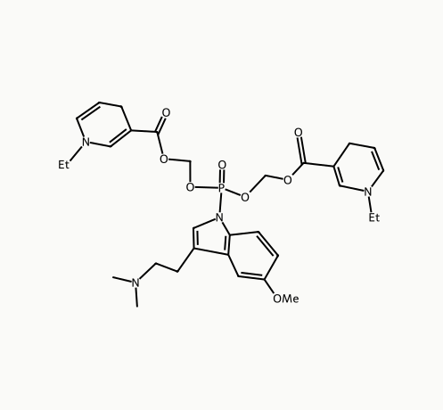 CCN1C=CCC(C(=O)OCOP(=O)(OCOC(=O)C2=CN(CC)C=CC2)n2cc(CCN(C)C)c3cc(OC)ccc32)=C1